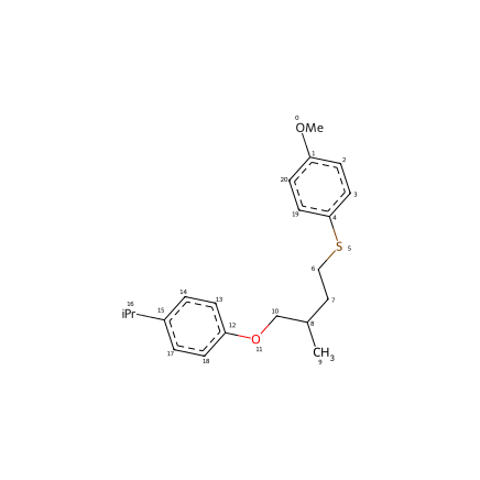 COc1ccc(SCCC(C)COc2ccc(C(C)C)cc2)cc1